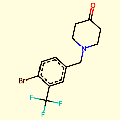 O=C1CCN(Cc2ccc(Br)c(C(F)(F)F)c2)CC1